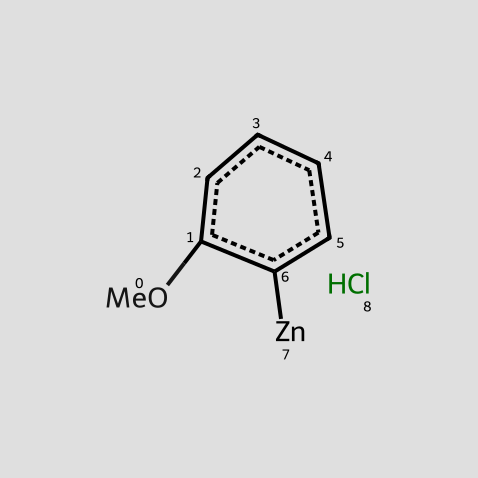 COc1cccc[c]1[Zn].Cl